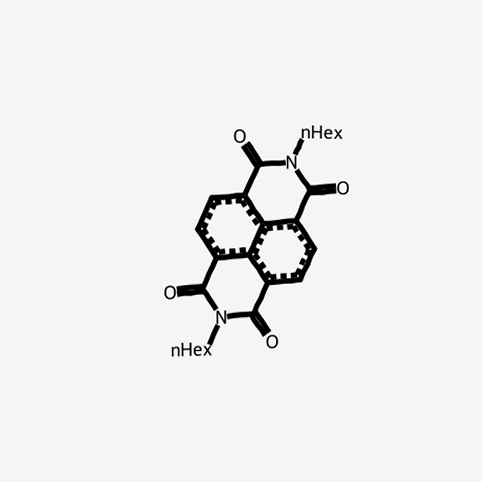 CCCCCCN1C(=O)c2ccc3c4c(ccc(c24)C1=O)C(=O)N(CCCCCC)C3=O